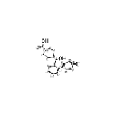 O=C(O)N1CCC(C(O)c2ccccc2-c2ccc(Cl)cc2)CC1